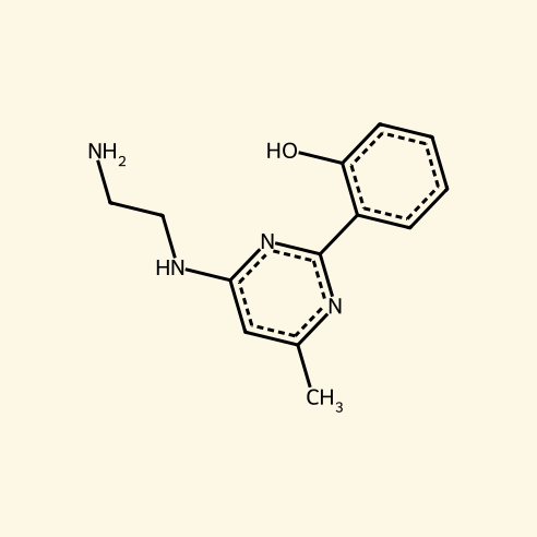 Cc1cc(NCCN)nc(-c2ccccc2O)n1